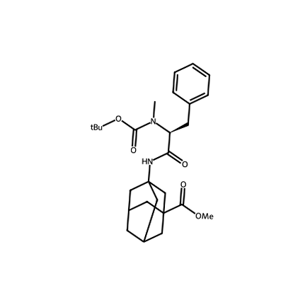 COC(=O)C12CC3CC(CC(NC(=O)[C@H](Cc4ccccc4)N(C)C(=O)OC(C)(C)C)(C3)C1)C2